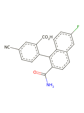 N#Cc1ccc(-c2c(C(N)=O)ccc3cc(F)ccc23)c(C(=O)O)c1